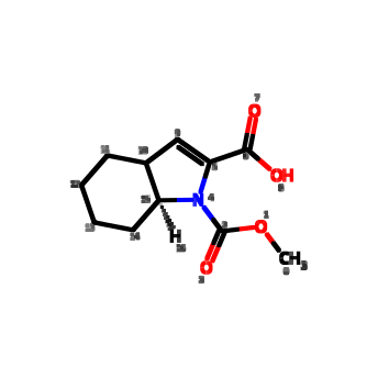 COC(=O)N1C(C(=O)O)=CC2CCCC[C@@H]21